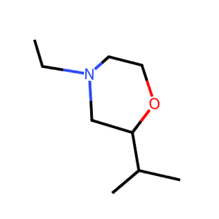 CCN1CCOC(C(C)C)C1